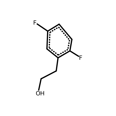 OCCc1cc(F)ccc1F